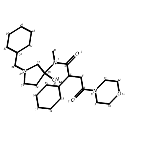 CN(C(=O)C(CC(=O)N1CCOCC1)C1CCCCC1)C1(C#N)CCN(CC2CCCCC2)C1